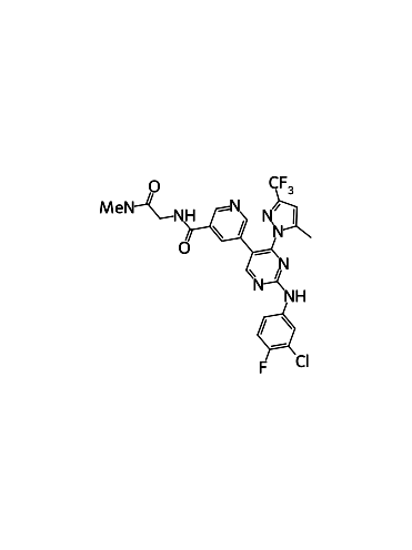 CNC(=O)CNC(=O)c1cncc(-c2cnc(Nc3ccc(F)c(Cl)c3)nc2-n2nc(C(F)(F)F)cc2C)c1